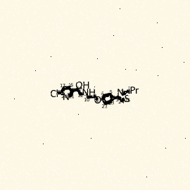 CC(C)c1nc(-c2ccc(OCCNC[C@H](O)c3ccc(Cl)nc3)cc2)cs1